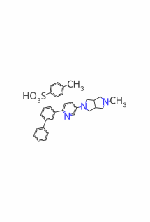 CN1CC2CN(c3ccc(-c4cccc(-c5ccccc5)c4)nc3)CC2C1.Cc1ccc(S(=O)(=O)O)cc1